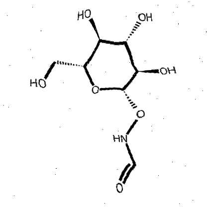 O=CNO[C@@H]1O[C@H](CO)[C@@H](O)[C@H](O)[C@H]1O